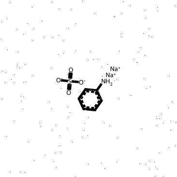 Nc1ccccc1.O=S(=O)([O-])[O-].[Na+].[Na+]